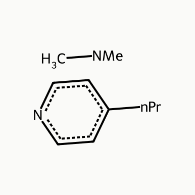 CCCc1ccncc1.CNC